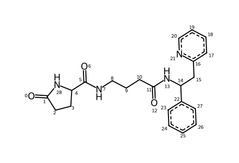 O=C1CCC(C(=O)NCCCC(=O)NC(Cc2ccccn2)c2ccccc2)N1